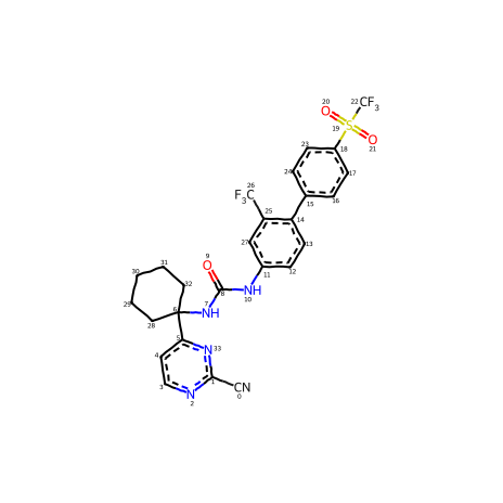 N#Cc1nccc(C2(NC(=O)Nc3ccc(-c4ccc(S(=O)(=O)C(F)(F)F)cc4)c(C(F)(F)F)c3)CCCCC2)n1